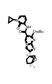 CC[C@@H](C)Oc1nc2nc([C@@]34CC[C@@](C)(C3)OC4)cn2cc1C(=O)Nc1cccn(C2CC2)c1=O